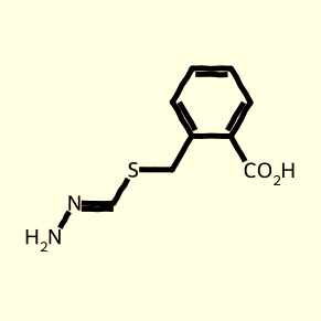 NN=CSCc1ccccc1C(=O)O